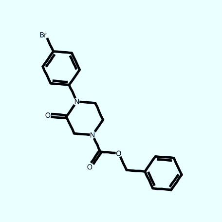 O=C(OCc1ccccc1)N1CCN(c2ccc(Br)cc2)C(=O)C1